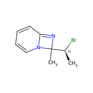 C[C@H](Br)C1(C)N=C2C=CC=CN21